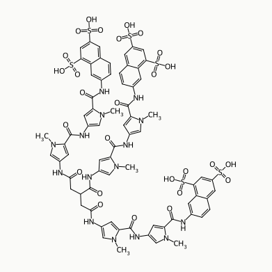 Cn1cc(NC(=O)CC(CC(=O)Nc2cc(C(=O)Nc3cc(C(=O)Nc4ccc5cc(S(=O)(=O)O)cc(S(=O)(=O)O)c5c4)n(C)c3)n(C)c2)C(=O)Nc2cc(C(=O)Nc3cc(C(=O)Nc4ccc5cc(S(=O)(=O)O)cc(S(=O)(=O)O)c5c4)n(C)c3)n(C)c2)cc1C(=O)Nc1cc(C(=O)Nc2ccc3cc(S(=O)(=O)O)cc(S(=O)(=O)O)c3c2)n(C)c1